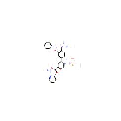 CNC(=O)c1c(-c2ccc(F)cc2)oc2cc(N(C)S(C)(=O)=O)c(-c3ccc(C(=O)N(C)C)c(-c4nc5c(F)cccc5o4)c3)cc12